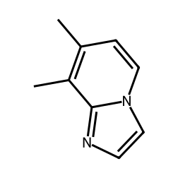 Cc1ccn2ccnc2c1C